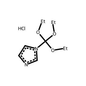 CCOC(OCC)(OCC)n1ccnc1.Cl